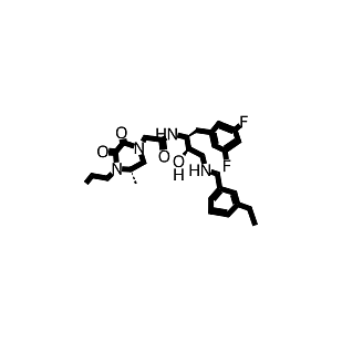 CCCN1C(=O)C(=O)N(CC(=O)N[C@@H](Cc2cc(F)cc(F)c2)[C@H](O)CNCc2cccc(CC)c2)C[C@@H]1C